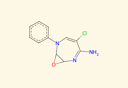 NC1=NC2OC2N(c2ccccc2)C=C1Cl